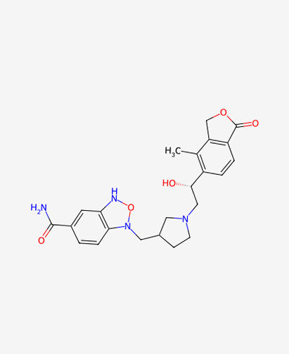 Cc1c([C@@H](O)CN2CCC(CN3ONc4cc(C(N)=O)ccc43)C2)ccc2c1COC2=O